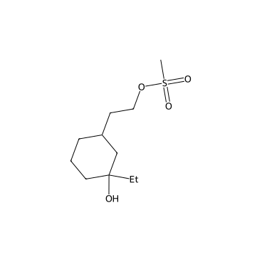 CCC1(O)CCCC(CCOS(C)(=O)=O)C1